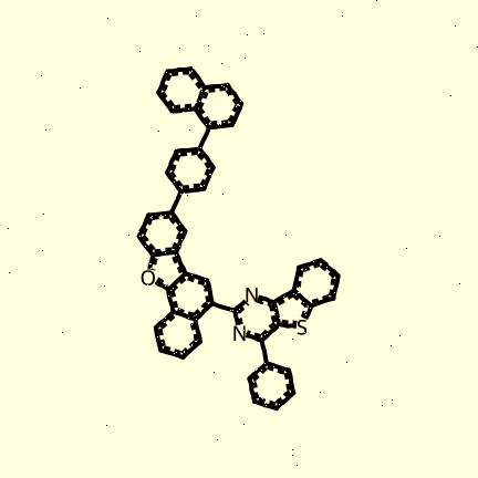 c1ccc(-c2nc(-c3cc4c5cc(-c6ccc(-c7cccc8ccccc78)cc6)ccc5oc4c4ccccc34)nc3c2sc2ccccc23)cc1